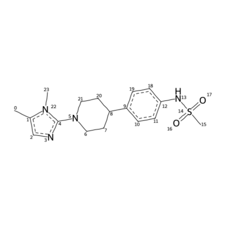 Cc1cnc(N2CCC(c3ccc(NS(C)(=O)=O)cc3)CC2)n1C